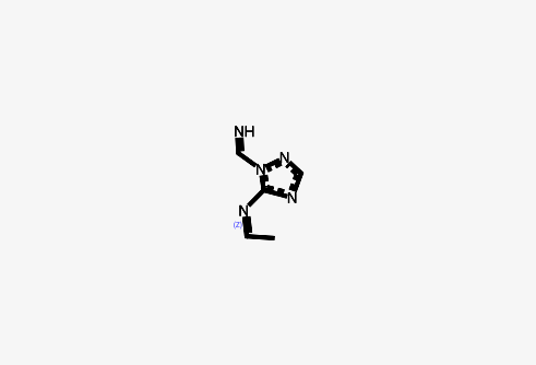 C/C=N\c1ncnn1C=N